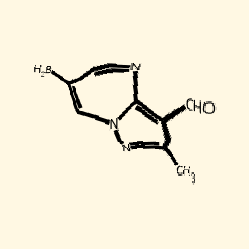 Bc1cnc2c(C=O)c(C)nn2c1